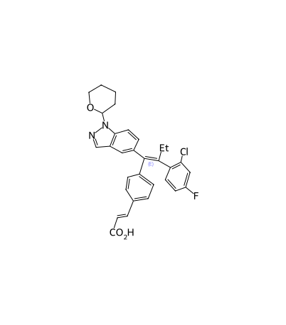 CC/C(=C(/c1ccc(C=CC(=O)O)cc1)c1ccc2c(cnn2C2CCCCO2)c1)c1ccc(F)cc1Cl